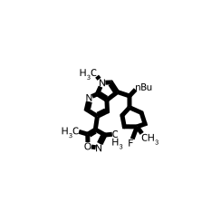 CCCCC(c1cn(C)c2ncc(-c3c(C)noc3C)cc12)C1CCC(C)(F)CC1